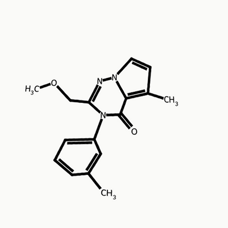 COCc1nn2ccc(C)c2c(=O)n1-c1cccc(C)c1